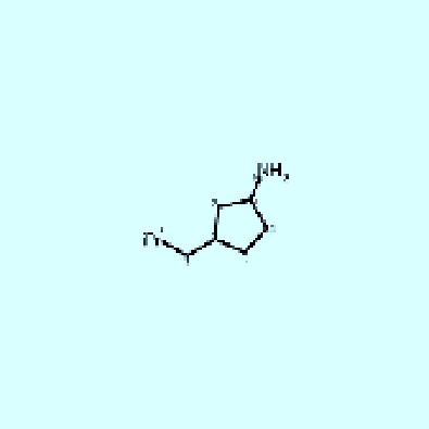 C[C](C)CC1CCC(N)C1